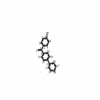 C=C(c1ccc(F)cc1)c1ccc(-c2ccccc2)cc1